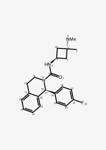 CN[C@]1(C)C[C@@H](NC(=O)N2CCc3ccccc3[C@@H]2c2ccc(F)cc2)C1